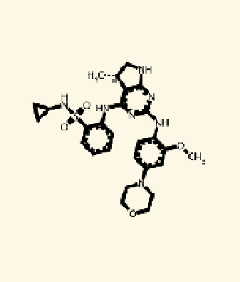 COc1cc(N2CCOCC2)ccc1Nc1nc2c(c(Nc3ccccc3S(=O)(=O)NC3CC3)n1)[C@H](C)CN2